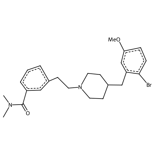 COc1ccc(Br)c(CC2CCN(CCc3cccc(C(=O)N(C)C)c3)CC2)c1